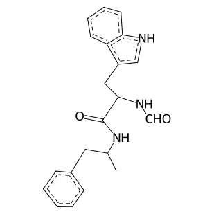 CC(Cc1ccccc1)NC(=O)C(Cc1c[nH]c2ccccc12)NC=O